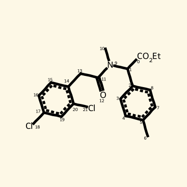 CCOC(=O)C(c1ccc(C)cc1)N(C)C(=O)Cc1ccc(Cl)cc1Cl